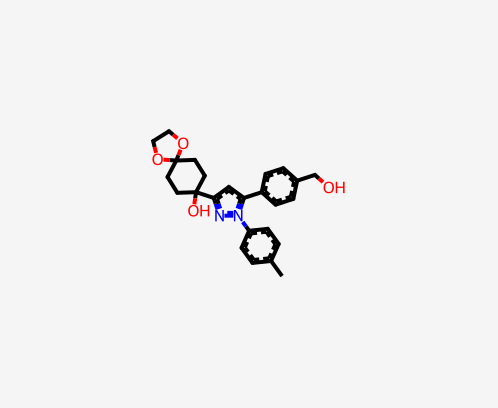 Cc1ccc(-n2nc(C3(O)CCC4(CC3)OCCO4)cc2-c2ccc(CO)cc2)cc1